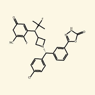 CC(C)(F)[C@H](C1=CC(=O)CC(C#N)=C1F)C1CN([C@@H](c2ccc(Cl)cc2)c2cccc(-c3n[nH]c(=O)o3)c2)C1